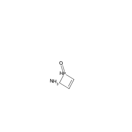 N.O=[PH]1C=CC1